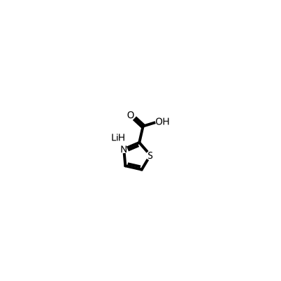 O=C(O)c1nccs1.[LiH]